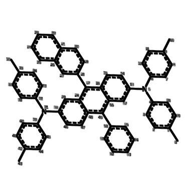 Cc1ccc(N(c2ccc(C)cc2)c2ccc3c(-c4ccc5ccccc5c4)c4cc(N(c5ccc(C)cc5)c5ccc(C)cc5)ccc4c(-c4ccccc4)c3c2)cc1